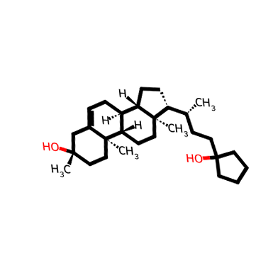 C[C@H](CCC1(O)CCCC1)[C@H]1CC[C@H]2[C@@H]3CC=C4C[C@@](C)(O)CC[C@]4(C)[C@H]3CC[C@]12C